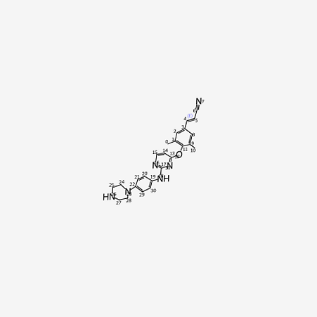 Cc1cc(/C=C/C#N)cc(C)c1Oc1ccnc(Nc2ccc(N3CCNCC3)cc2)n1